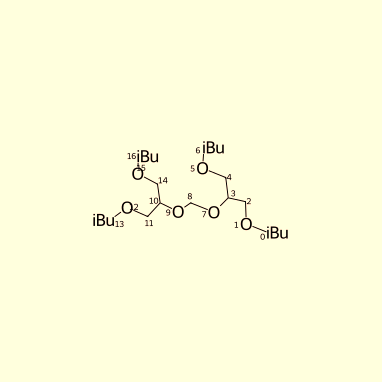 CCC(C)OCC(COC(C)CC)OCOC(COC(C)CC)COC(C)CC